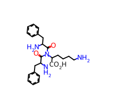 NCCCCC(C(=O)O)N(C(=O)C(N)Cc1ccccc1)C(=O)C(N)Cc1ccccc1